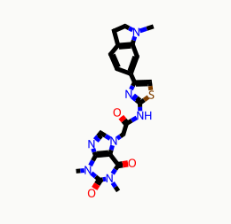 CN1CCc2ccc(-c3csc(NC(=O)Cn4cnc5c4c(=O)n(C)c(=O)n5C)n3)cc21